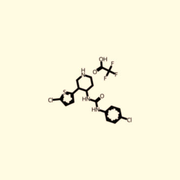 O=C(Nc1ccc(Cl)cc1)NC1CCNCC1c1ccc(Cl)s1.O=C(O)C(F)(F)F